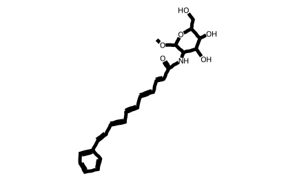 COC1OC(CO)C(O)C(O)C1NC(=O)/C=C/C=C/C=C/C=C/C=C/c1ccccc1